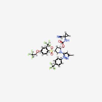 Cc1cc(N2C[C@H](S(=O)(=O)c3ccc(OCC(F)(F)F)cc3C(F)(F)F)C[C@@H]2OC(=O)NC2(C#N)CC2)n(-c2ccc(C(F)(F)F)cc2)n1